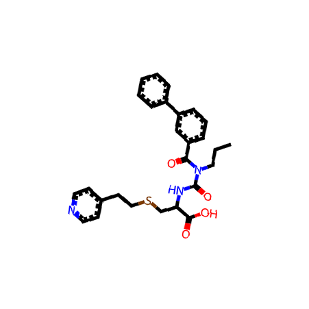 CCCN(C(=O)NC(CSCCc1ccncc1)C(=O)O)C(=O)c1cccc(-c2ccccc2)c1